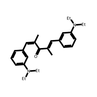 CCN(CC)c1cccc(C=C(C)C(=O)C(C)=Cc2cccc(N(CC)CC)c2)c1